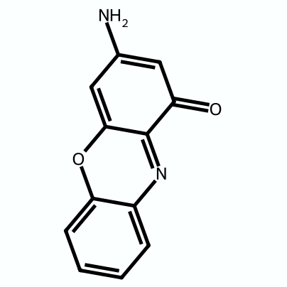 Nc1cc2oc3ccccc3nc-2c(=O)c1